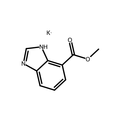 COC(=O)c1cccc2nc[nH]c12.[K]